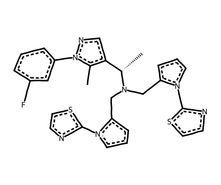 Cc1c([C@H](C)N(Cc2cccn2-c2nccs2)Cc2cccn2-c2nccs2)cnn1-c1cccc(F)c1